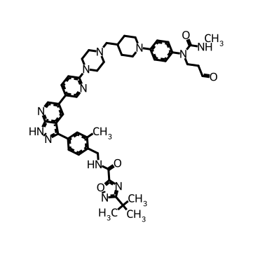 CNC(=O)N(CCC=O)c1ccc(N2CCC(CN3CCN(c4ccc(-c5cnc6[nH]nc(-c7ccc(CNC(=O)c8nc(C(C)(C)C)no8)c(C)c7)c6c5)cn4)CC3)CC2)cc1